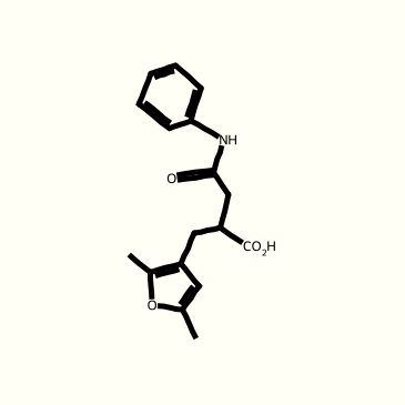 Cc1cc(CC(CC(=O)Nc2ccccc2)C(=O)O)c(C)o1